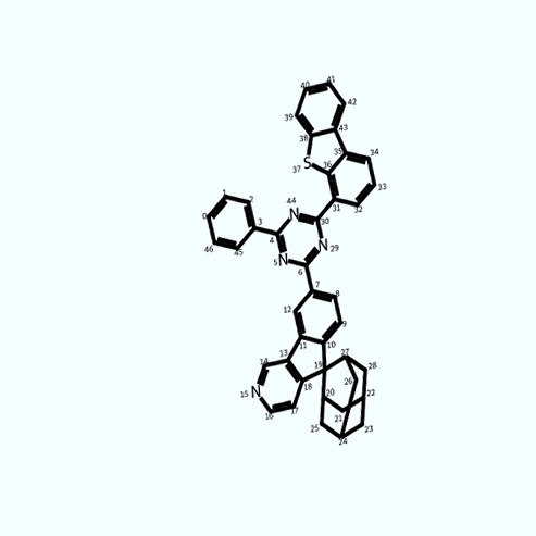 c1ccc(-c2nc(-c3ccc4c(c3)-c3cnccc3C43C4CC5CC(C4)CC3C5)nc(-c3cccc4c3sc3ccccc34)n2)cc1